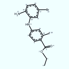 CCOC(=O)c1ccc(Nc2cc(Br)ccc2N)cc1F